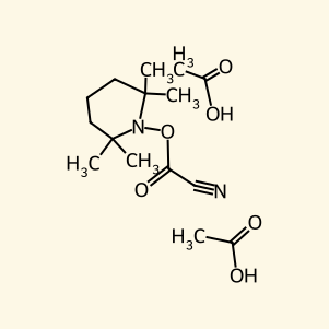 CC(=O)O.CC(=O)O.CC1(C)CCCC(C)(C)N1OC(=O)C#N